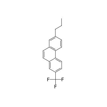 CCCc1ccc2c(ccc3cc(C(F)(F)F)ccc32)c1